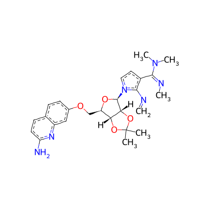 C=Nc1c(/C(=N\C)N(C)C)ccn1[C@@H]1O[C@H](COc2ccc3ccc(N)nc3c2)[C@H]2OC(C)(C)O[C@H]21